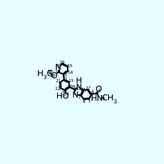 CNC(=O)c1ccc2nc(-c3cc(-c4cccnc4OC)ccc3O)[nH]c2c1